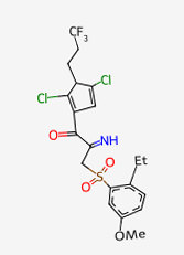 CCc1ccc(OC)cc1S(=O)(=O)CC(=N)C(=O)C1=C(Cl)C(CCC(F)(F)F)C(Cl)=C1